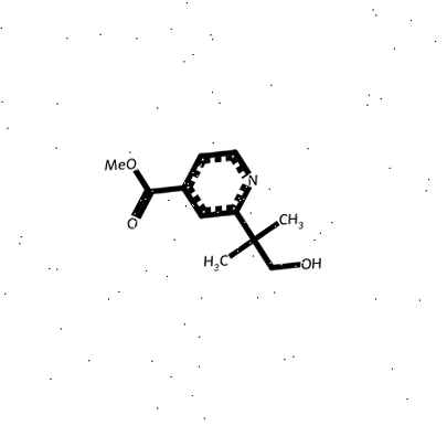 COC(=O)c1ccnc(C(C)(C)CO)c1